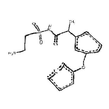 CC(C(=O)NS(=O)(=O)CCN)c1cccc(Oc2ccccc2)c1